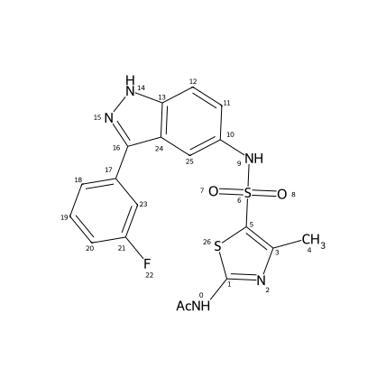 CC(=O)Nc1nc(C)c(S(=O)(=O)Nc2ccc3[nH]nc(-c4cccc(F)c4)c3c2)s1